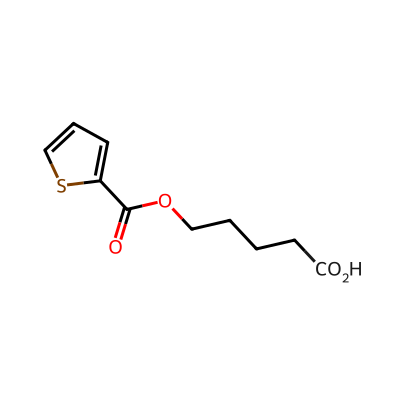 O=C(O)CCCCOC(=O)c1cccs1